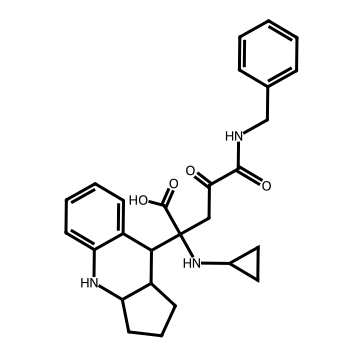 O=C(CC(NC1CC1)(C(=O)O)C1c2ccccc2NC2CCCC21)C(=O)NCc1ccccc1